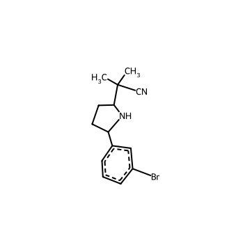 CC(C)(C#N)C1CCC(c2cccc(Br)c2)N1